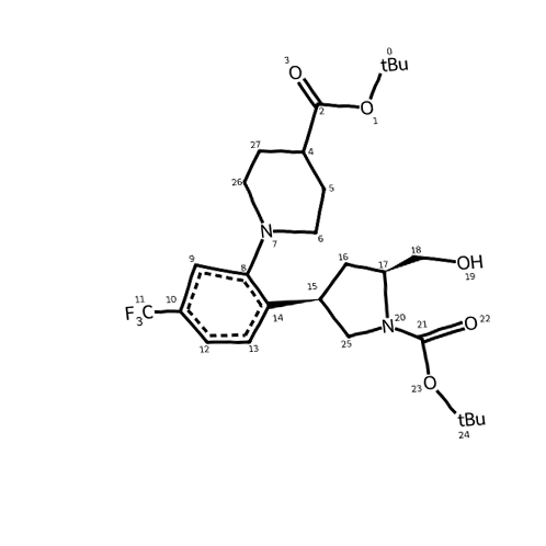 CC(C)(C)OC(=O)C1CCN(c2cc(C(F)(F)F)ccc2[C@H]2C[C@@H](CO)N(C(=O)OC(C)(C)C)C2)CC1